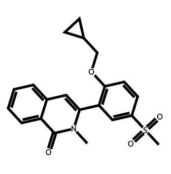 Cn1c(-c2cc(S(C)(=O)=O)ccc2OCC2CC2)cc2ccccc2c1=O